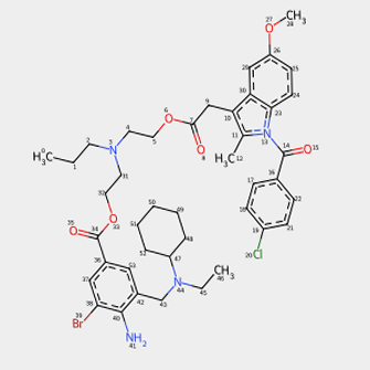 CCCN(CCOC(=O)Cc1c(C)n(C(=O)c2ccc(Cl)cc2)c2ccc(OC)cc12)CCOC(=O)c1cc(Br)c(N)c(CN(CC)C2CCCCC2)c1